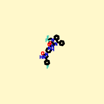 O=C(N[C@@H]1N=C(c2ccccc2)c2ccccc2N(CC(F)(F)F)C1=O)N1CCC(N2CC(c3ccc(F)cc3)NC2=O)CC1